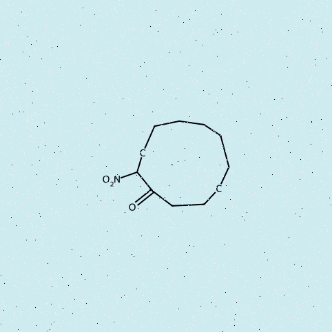 O=C1CCCCCCCCCC1[N+](=O)[O-]